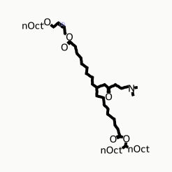 CCCCCCCCOC/C=C\COC(=O)CCCCCCCCC(CCCCCCCCC(=O)OC(CCCCCCCC)CCCCCCCC)CC(=O)CCCN(C)C